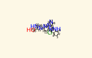 Cc1cccc(Cl)c1Nc1nc2ccc(N3CCNC(CO)C3)nc2n2cncc12